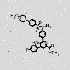 COC(=O)c1cc2c([nH]c3cc(F)ccc32)c(-c2ccc(N(C)S(=O)(=O)c3ccc(N4CCN(C)CC4)cc3)cc2)n1